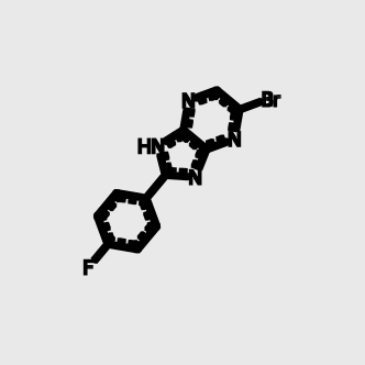 Fc1ccc(-c2nc3nc(Br)cnc3[nH]2)cc1